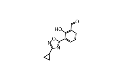 O=Cc1cccc(-c2nc(C3CC3)no2)c1O